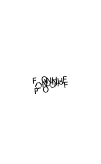 O=c1[nH]c2c(c(=O)n1-c1cc(F)cc(F)c1)CC[C@H](C1CC(F)(F)C1)N2